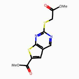 COC(=O)CSc1ncc2cc(C(=O)OC)sc2n1